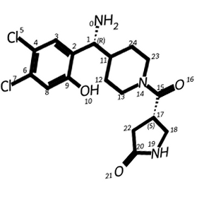 N[C@@H](c1cc(Cl)c(Cl)cc1O)C1CCN(C(=O)[C@@H]2CNC(=O)C2)CC1